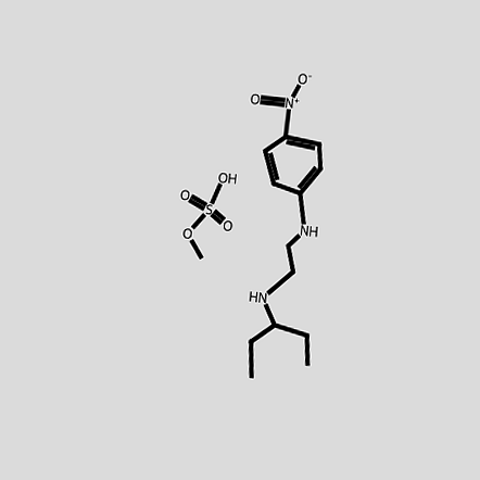 CCC(CC)NCCNc1ccc([N+](=O)[O-])cc1.COS(=O)(=O)O